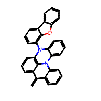 C=c1c2cccc3c2-n(c2ccccc12)c1ccccc1n3-c1cccc2c1oc1ccccc12